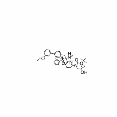 CCOc1cccc(-c2ccc(CC(N)(c3cccc(N(CC(=O)O)C(=O)OC(C)(C)C)n3)S(=O)(=O)c3cccs3)cc2)c1